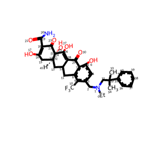 CCN(Cc1cc(O)c2c(c1C(F)(F)F)CC1C[C@H]3CC(O)=C(C(N)=O)C(=O)[C@@]3(O)C(O)=C1C2=O)CC(C)(C)c1ccccc1